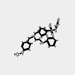 COc1ccc(CN(CCSc2ccccc2)Cc2ccc(S(=O)(=O)N=[N+]=[N-])cc2)cc1